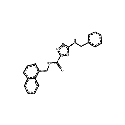 O=C(NCc1cccc2ccccc12)c1nnc(NCc2ccccc2)o1